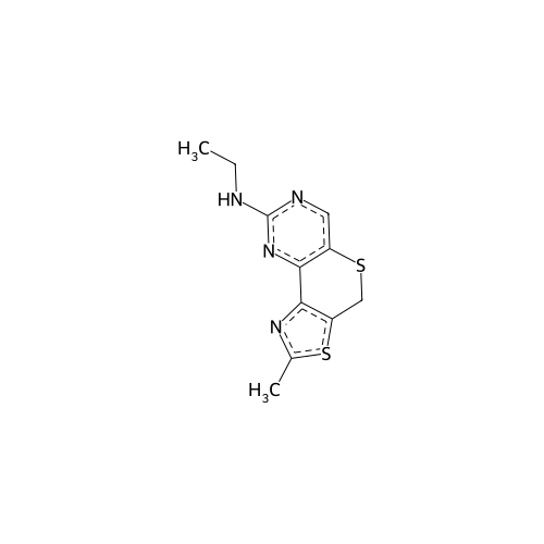 CCNc1ncc2c(n1)-c1nc(C)sc1CS2